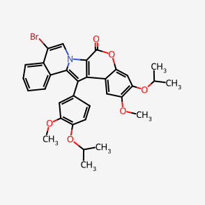 COc1cc(-c2c3c4cc(OC)c(OC(C)C)cc4oc(=O)c3n3cc(Br)c4ccccc4c23)ccc1OC(C)C